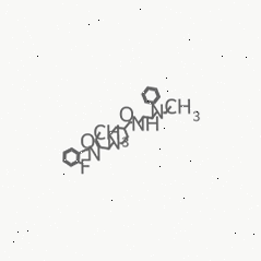 CCN(CCNC(=O)C1CCN(Cc2nc(-c3ccccc3F)oc2C)CC1)c1ccccc1